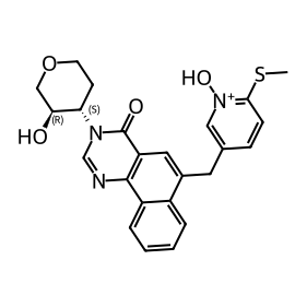 CSc1ccc(Cc2cc3c(=O)n([C@H]4CCOC[C@@H]4O)cnc3c3ccccc23)c[n+]1O